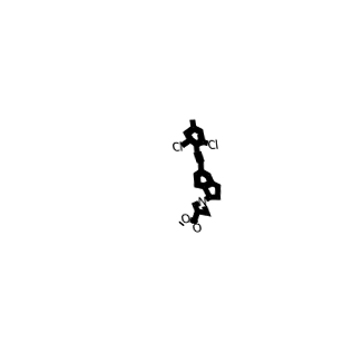 COC(=O)C1CN(C2CCc3cc(C#Cc4c(Cl)cc(C)cc4Cl)ccc32)C1